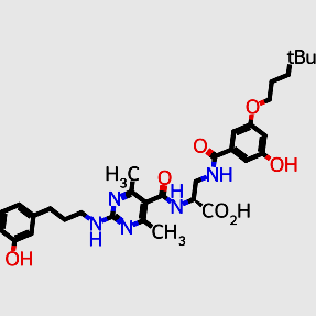 Cc1nc(NCCCc2cccc(O)c2)nc(C)c1C(=O)N[C@@H](CNC(=O)c1cc(O)cc(OCCCC(C)(C)C)c1)C(=O)O